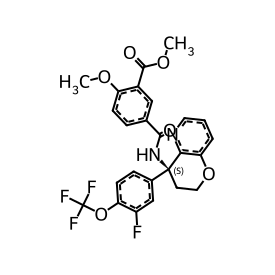 COC(=O)c1cc(C(=O)N[C@]2(c3ccc(OC(F)(F)F)c(F)c3)CCOc3cccnc32)ccc1OC